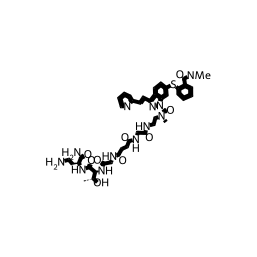 CNC(=O)c1ccccc1Sc1ccc2c(/C=C/c3ccccn3)nn(C(=O)N(C)CCNC(=O)CNC(=O)CCC(=O)NCC(=O)N[C@H](C(=O)N[C@@H](CCN)C(N)=O)[C@@H](C)O)c2c1